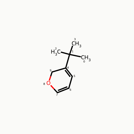 CC(C)(C)C1=CC=COC1